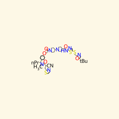 CCCC(c1ccc(OCC(=O)N2CCC(N3CCC(C(=O)Nc4ncc(SCc5ncc(C(C)(C)C)o5)s4)CC3)CC2)cc1)N(C)C(=O)C(C#N)Cc1nccs1